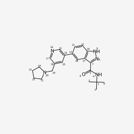 CC(C)(C)NC(=O)c1n[nH]c2ccc(-c3cncc(CN4CCCC4)c3)cc12